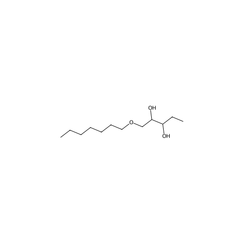 CCCCCCCOCC(O)C(O)CC